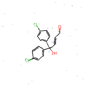 O=C/C=C/C(O)(c1ccc(Cl)cc1)c1ccc(Cl)cc1